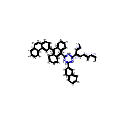 C\C=C/C(C)=C/C=C(\C=C\C)c1nc(-c2ccc3ccccc3c2)nc(-c2c3ccccc3c(-c3ccc4ccc5ccccc5c4c3)c3ccccc23)n1